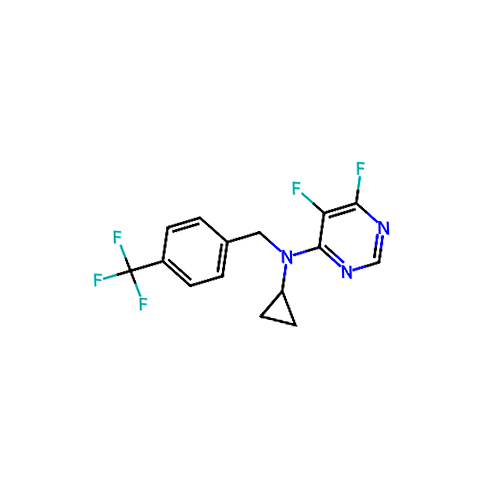 Fc1ncnc(N(Cc2ccc(C(F)(F)F)cc2)C2CC2)c1F